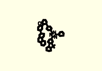 CC1(C)c2ccccc2-c2ccc(-c3nc(-c4ccccc4)nc(-c4ccc(-c5cccc6oc7ccc(-c8ccc9c(ccc%10ccccc%109)c8)cc7c56)cc4)n3)cc21